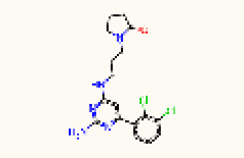 Nc1nc(NCCCN2CCCC2=O)cc(-c2cccc(Cl)c2Cl)n1